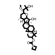 CO[C@@H](C1C[C@@H](C)[C@H]2C(O1)[C@H](O)[C@@]1(C)C3CC[C@H]4C(C)(C)C(OC(=O)N5CCC5)CC[C@@]45C[C@@]35CC[C@]21C)C(C)(C)O